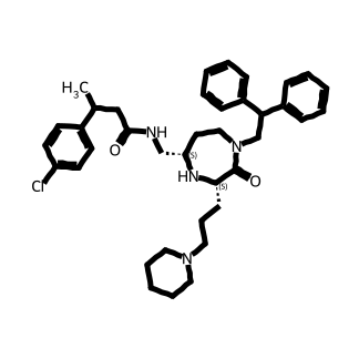 CC(CC(=O)NC[C@@H]1CCN(CC(c2ccccc2)c2ccccc2)C(=O)[C@H](CCCN2CCCCC2)N1)c1ccc(Cl)cc1